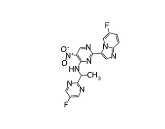 CC(Nc1nc(-c2cnc3ccc(F)cn23)ncc1[N+](=O)[O-])c1ncc(F)cn1